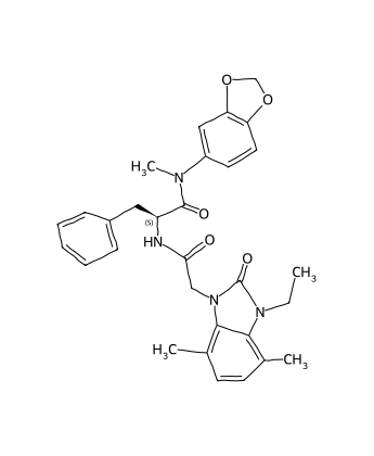 CCn1c(=O)n(CC(=O)N[C@@H](Cc2ccccc2)C(=O)N(C)c2ccc3c(c2)OCO3)c2c(C)ccc(C)c21